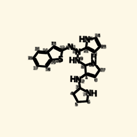 C1=C(NC2CCCN2)C(NN([N]c2cc3ccccc3s2)c2ccc[nH]2)NC1